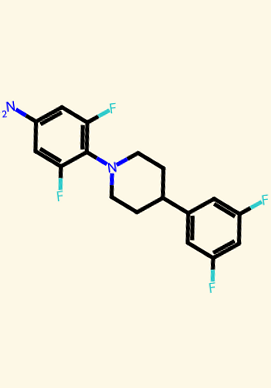 Nc1cc(F)c(N2CCC(c3cc(F)cc(F)c3)CC2)c(F)c1